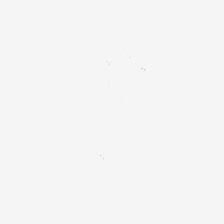 CCOC(=O)CCO/N=C1\c2cc(OC3CCC(N)CC3)ccc2-c2ncnc(N)c2C1(C)C